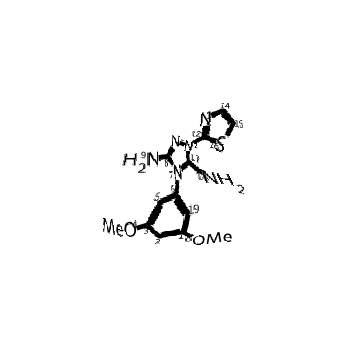 COc1cc(OC)cc(N2C(N)=NN(c3nccs3)C2N)c1